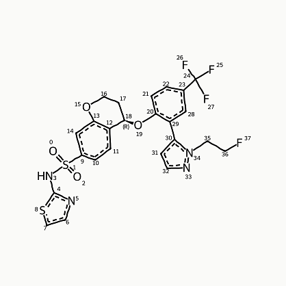 O=S(=O)(Nc1nccs1)c1ccc2c(c1)OCC[C@H]2Oc1ccc(C(F)(F)F)cc1-c1ccnn1CCF